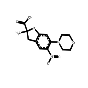 CC1(C(=O)O)Cc2cc([N+](=O)[O-])c(N3CCOCC3)cc2O1